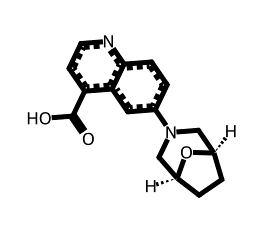 O=C(O)c1ccnc2ccc(N3C[C@H]4CC[C@@H](C3)O4)cc12